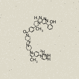 [2H]C1C=CN(c2ccc3c(c2)c(C)cn3C2CCN(CC3(F)CCN(C(=O)c4ccc(C5(C)CCCN(c6cc(-c7ccccc7O)nnc6N)C5)cc4)CC3)CC2)[C@H]([2H])N1